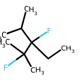 CCC(F)(C(C)C)C(C)(C)F